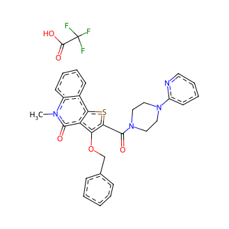 Cn1c(=O)c2c(OCc3ccccc3)c(C(=O)N3CCN(c4ccccn4)CC3)sc2c2ccccc21.O=C(O)C(F)(F)F